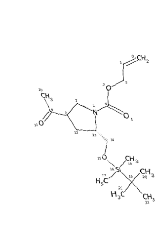 C=CCOC(=O)N1CC(C(C)=O)C[C@H]1CO[Si](C)(C)C(C)(C)C